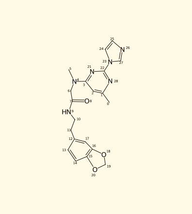 Cc1cc(N(C)CC(=O)NCCc2ccc3c(c2)OCO3)nc(-n2ccnc2)n1